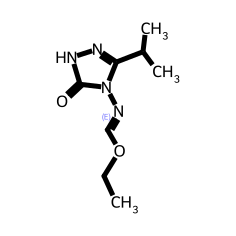 CCO/C=N/n1c(C(C)C)n[nH]c1=O